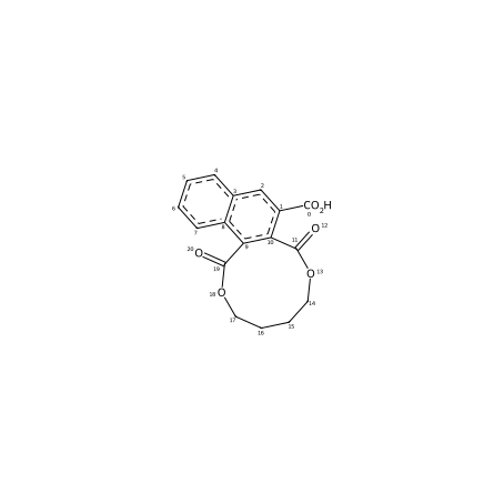 O=C(O)c1cc2ccccc2c2c1C(=O)OCCCCOC2=O